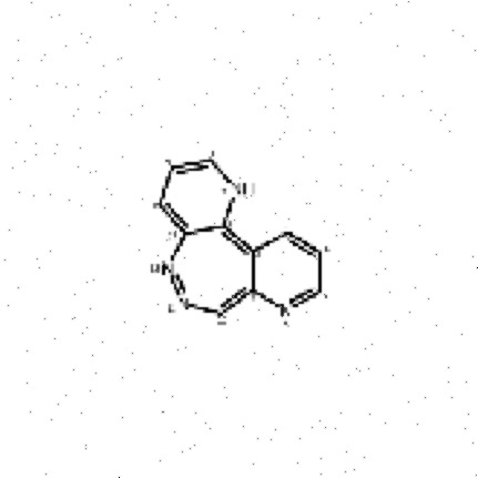 C1=CNC2=c3cccnc3=CN=NC2=C1